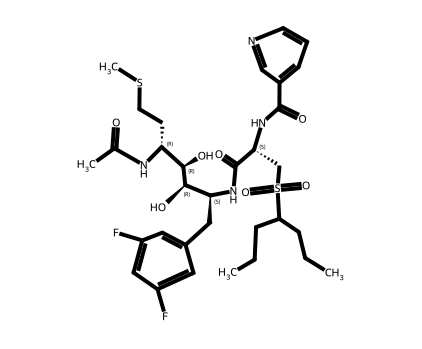 CCCC(CCC)S(=O)(=O)C[C@@H](NC(=O)c1cccnc1)C(=O)N[C@@H](Cc1cc(F)cc(F)c1)[C@@H](O)[C@H](O)[C@@H](CCSC)NC(C)=O